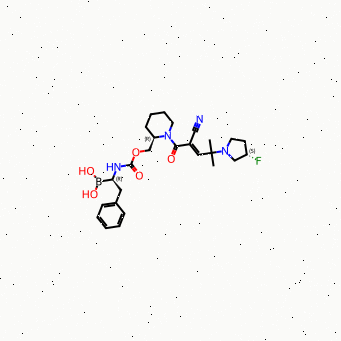 CC(C)(C=C(C#N)C(=O)N1CCCC[C@@H]1COC(=O)N[C@@H](Cc1ccccc1)B(O)O)N1CC[C@H](F)C1